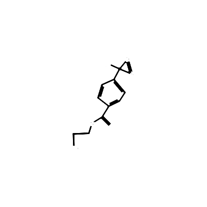 CC(C)(C)CCNC(=O)c1ccc(C2(C(F)(F)F)N=N2)cc1